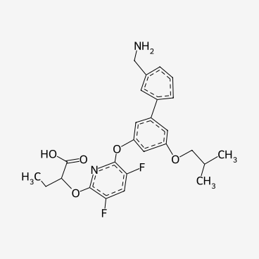 CCC(Oc1nc(Oc2cc(OCC(C)C)cc(-c3cccc(CN)c3)c2)c(F)cc1F)C(=O)O